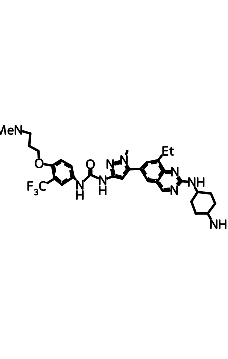 CCc1cc(-c2cc(NC(=O)Nc3ccc(OCCCNC)c(C(F)(F)F)c3)nn2C)cc2cnc(NC3CCC(N)CC3)nc12